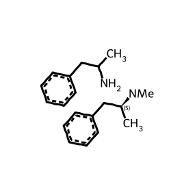 CC(N)Cc1ccccc1.CN[C@@H](C)Cc1ccccc1